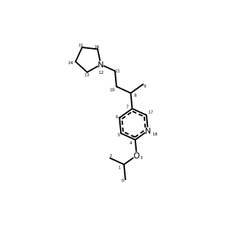 CC(C)Oc1ccc(C(C)CCN2CCCC2)cn1